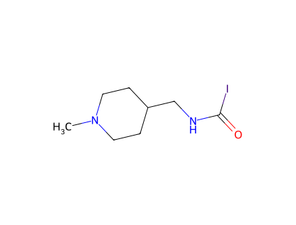 CN1CCC(CNC(=O)I)CC1